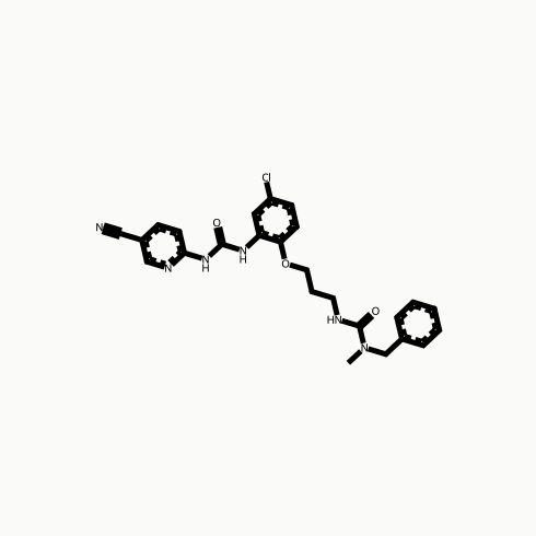 CN(Cc1ccccc1)C(=O)NCCCOc1ccc(Cl)cc1NC(=O)Nc1ccc(C#N)cn1